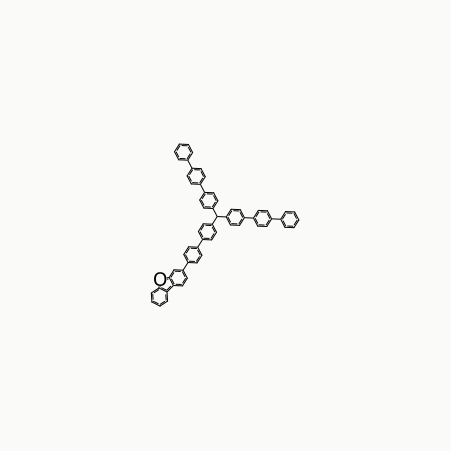 c1ccc(-c2ccc(-c3ccc(C(c4ccc(-c5ccc(-c6ccccc6)cc5)cc4)c4ccc(-c5ccc(-c6ccc7c(c6)oc6ccccc67)cc5)cc4)cc3)cc2)cc1